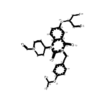 O=CN1CCC(n2c(=O)n(Cc3ccc(OC(F)F)cc3)c(=O)c3cc(OC(CF)CF)ccc32)CC1